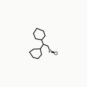 O=PCC(C1CCCCC1)C1CCCCC1